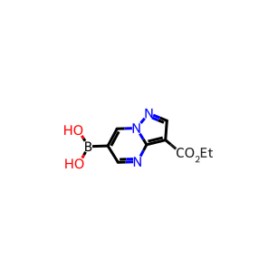 CCOC(=O)c1cnn2cc(B(O)O)cnc12